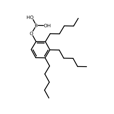 CCCCCc1ccc(OB(O)O)c(CCCCC)c1CCCCC